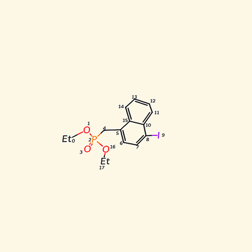 CCOP(=O)(Cc1ccc(I)c2ccccc12)OCC